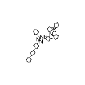 c1ccc(C2=NC(c3ccc(-c4ccc(-c5ccccc5)cc4)cc3)=NC(c3ccc4c5ccccc5n(-c5cccc6c5oc5ccccc56)c4c3)N2)cc1